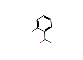 CCc1ccccc1C([O])CC